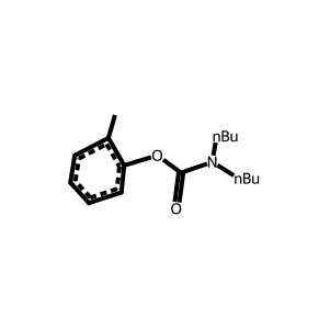 CCCCN(CCCC)C(=O)Oc1ccccc1C